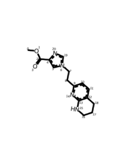 COC(=O)c1cn(CCc2ccc3c(n2)NCCC3)cn1